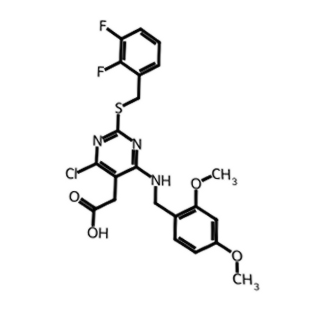 COc1ccc(CNc2nc(SCc3cccc(F)c3F)nc(Cl)c2CC(=O)O)c(OC)c1